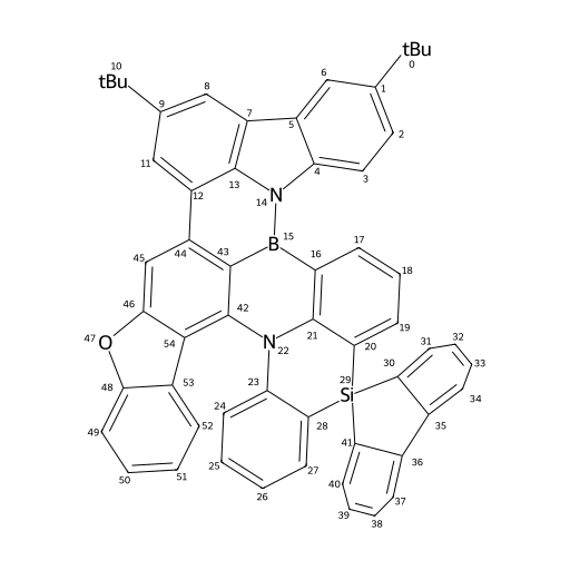 CC(C)(C)c1ccc2c(c1)c1cc(C(C)(C)C)cc3c1n2B1c2cccc4c2N(c2ccccc2[Si]42c4ccccc4-c4ccccc42)c2c1c-3cc1oc3ccccc3c21